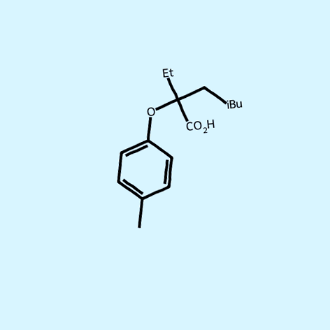 CCC(C)CC(CC)(Oc1ccc(C)cc1)C(=O)O